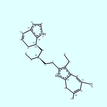 CCc1c(CC[C@@H](CC)C[C@H]2CC=Nc3nc[nH]c32)[nH]c2c1C=C(Cl)C=C(C)C2